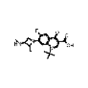 CNC1CN(c2cc3c(cc2F)c(=O)c(C(=O)O)cn3C(C)(C)C)C1C